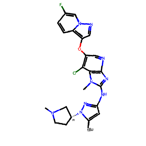 CN1CC[C@@H](n2nc(Nc3nc4ncc(Oc5cnn6cc(F)ccc56)c(Cl)c4n3C)cc2C(C)(C)C)C1